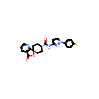 O=C1O[C@]2(CC[C@@H](C(=O)Nc3ccn(-c4ccc(F)cc4)n3)CC2)c2ncccc21